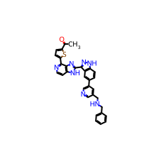 CC(=O)c1ccc(-c2nccc3[nH]c(-c4n[nH]c5ccc(-c6cncc(CNCc7ccccc7)c6)cc45)nc23)s1